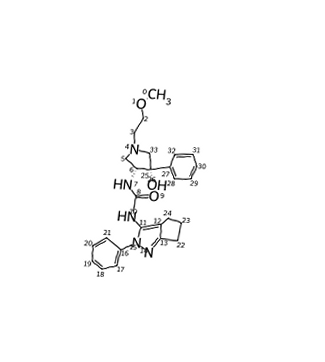 COCCN1C[C@@H](NC(=O)Nc2c3c(nn2-c2ccccc2)CCC3)[C@](O)(c2ccccc2)C1